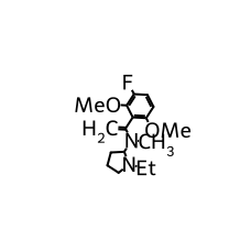 C=C(c1c(OC)ccc(F)c1OC)N(C)C1CCCN1CC